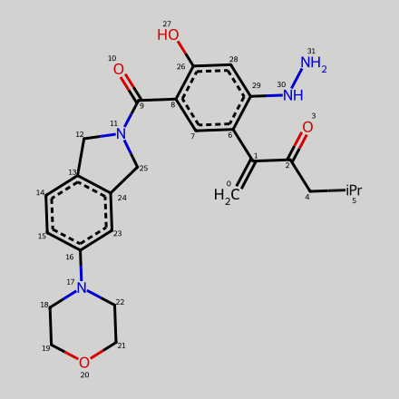 C=C(C(=O)CC(C)C)c1cc(C(=O)N2Cc3ccc(N4CCOCC4)cc3C2)c(O)cc1NN